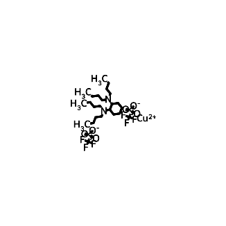 CCCCN(CCCC)C1CCCCC1N(CCCC)CCCC.O=S(=O)([O-])C(F)(F)F.O=S(=O)([O-])C(F)(F)F.[Cu+2]